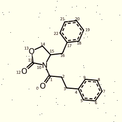 O=C(CCc1ccccc1)N1C(=O)OCC1Cc1ccccc1